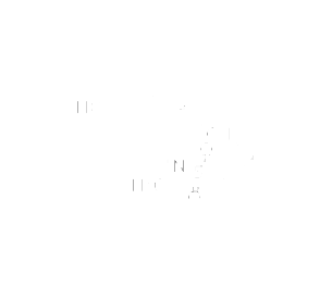 C#Cc1ccc(C)c(N(C)S(=O)(=O)C2CC2)c1